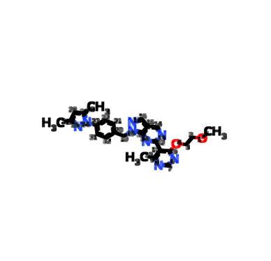 COCCOc1ncnc(C)c1-c1ncc2cnn(Cc3ccc(-n4nc(C)cc4C)cc3)c2n1